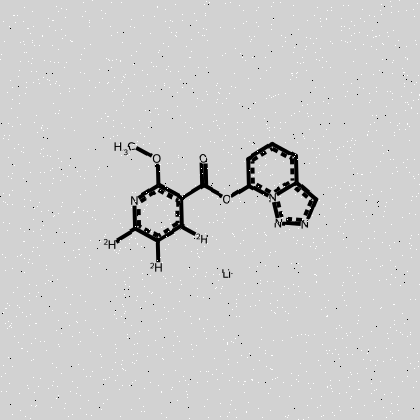 [2H]c1nc(OC)c(C(=O)Oc2cccc3cnnn23)c([2H])c1[2H].[Li]